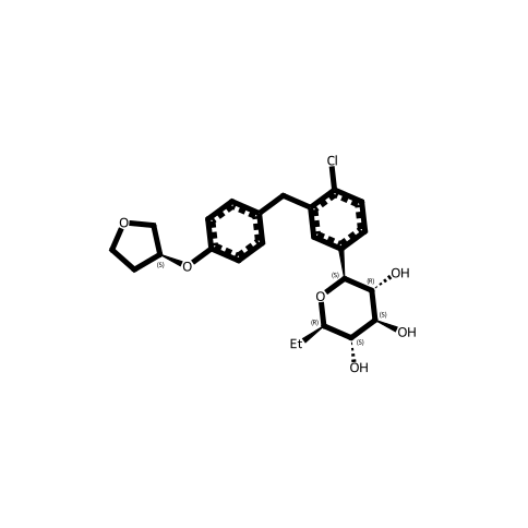 CC[C@H]1O[C@@H](c2ccc(Cl)c(Cc3ccc(O[C@H]4CCOC4)cc3)c2)[C@H](O)[C@@H](O)[C@@H]1O